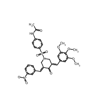 COc1cc(C=C2CN(S(=O)(=O)c3ccc(NC(C)=O)cc3)CC(=Cc3cccc([N+](=O)[O-])c3)C2=O)cc(OC)c1OC